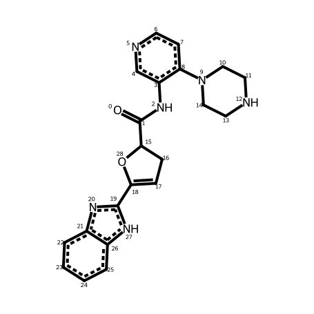 O=C(Nc1cnccc1N1CCNCC1)C1CC=C(c2nc3ccccc3[nH]2)O1